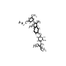 Cc1cc(-c2[nH]c3ccc(OC4CCN(CC(C)O)CC4)cc3c2C(C)C)cc(C)n1